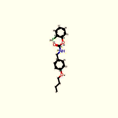 CCCCOc1ccc(CNC(=O)Oc2ccccc2F)cc1